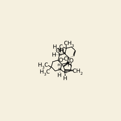 C=C1C(=O)[C@@]23[C@@H]4CC(C)(C)CC25OC[C@]2(C=CCC(C)(C)[C@H]2[C@@H]5O)[C@@H]3CC[C@@H]14